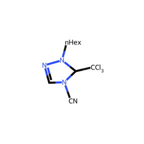 CCCCCCN1N=CN(C#N)C1C(Cl)(Cl)Cl